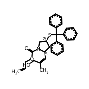 C=CCOC(=O)N1C[C@@H](SC(c2ccccc2)(c2ccccc2)c2ccccc2)C[C@H]1C=C(C)CO